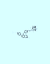 CN1C(=O)C2N=C(COc3ccc(Cc4c(-c5ccc(O)cc5)ccc5cc(O)ccc45)cc3)N=C2N(C)C1=O